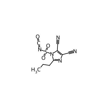 CCCc1nc(C#N)c(C#N)n1S(=O)(=O)N=C=O